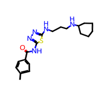 Cc1ccc(C(=O)Nc2nnc(NCCCNC3CCCCC3)s2)cc1